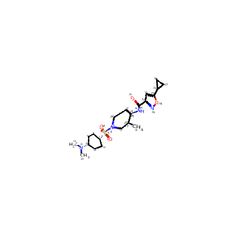 C[C@H]1CN(S(=O)(=O)[C@H]2CC[C@@H](N(C)C)CC2)CC[C@H]1NC(=O)c1cc(C2CC2)on1